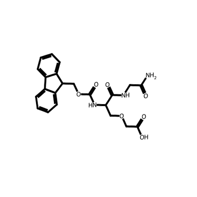 NC(=O)CNC(=O)C(COCC(=O)O)NC(=O)OCC1c2ccccc2-c2ccccc21